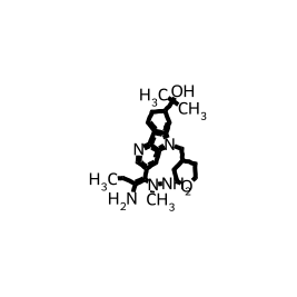 CC/C(N)=C(\c1cnc2c3c(n(CC4CCOCC4)c2c1)=CC(C(C)(C)O)CC=3)N(C)N